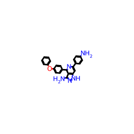 Nc1ccc(-c2cc3[nH]nc(N)c3c(-c3ccc(Oc4ccccc4)cc3)n2)cc1